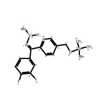 CC(C)(C)[S@@+]([O-])N=C(c1ccc(F)c(F)c1)c1ccc(CO[Si](C)(C)C(C)(C)C)cn1